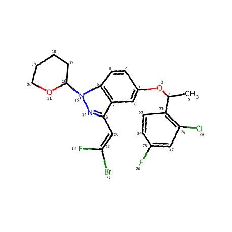 CC(Oc1ccc2c(c1)c(/C=C(\F)Br)nn2C1CCCCO1)c1ccc(F)cc1Cl